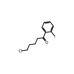 O=C(CCCCCl)c1ccccc1I